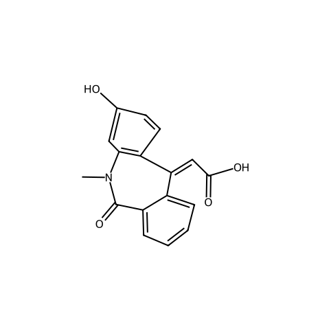 CN1C(=O)c2ccccc2C(=CC(=O)O)c2ccc(O)cc21